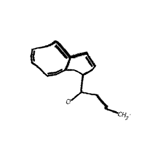 [CH2]CCC(Cl)C1C=Cc2ccccc21